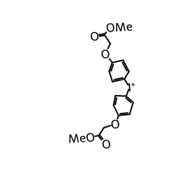 COC(=O)COc1ccc([I+]c2ccc(OCC(=O)OC)cc2)cc1